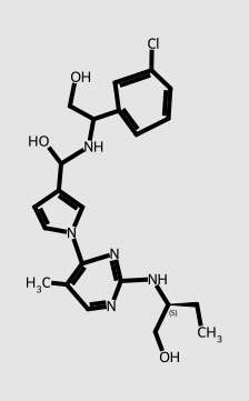 CC[C@@H](CO)Nc1ncc(C)c(-n2ccc(C(O)NC(CO)c3cccc(Cl)c3)c2)n1